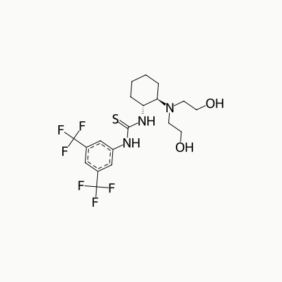 OCCN(CCO)[C@@H]1CCCC[C@H]1NC(=S)Nc1cc(C(F)(F)F)cc(C(F)(F)F)c1